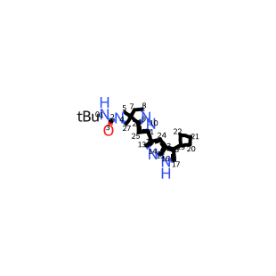 CC(C)(C)NC(=O)N1CC2(CCn3nc(-c4cnc5[nH]cc(C6CCC6)c5c4)cc32)C1